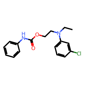 CCN(CCOC(=O)Nc1ccccc1)c1cccc(Cl)c1